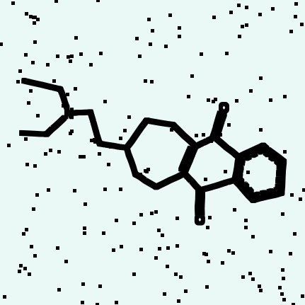 CCN(CC)CCC1CCC2=C(CC1)C(=O)c1ccccc1C2=O